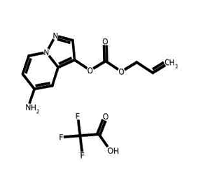 C=CCOC(=O)Oc1cnn2ccc(N)cc12.O=C(O)C(F)(F)F